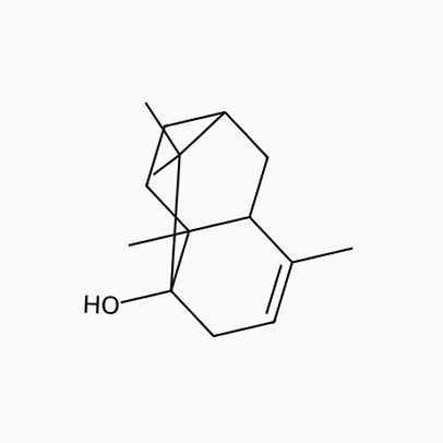 CC1=CCC2(O)C(C)(C)C3CCC2(C)C1C3